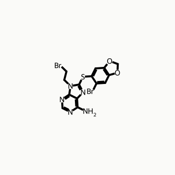 Nc1ncnc2c1nc(Sc1cc3c(cc1Br)OCO3)n2CCBr